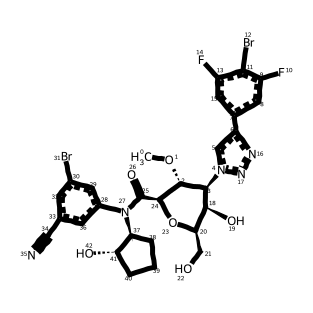 CO[C@@H]1[C@@H](n2cc(-c3cc(F)c(Br)c(F)c3)nn2)[C@@H](O)[C@@H](CO)O[C@H]1C(=O)N(c1cc(Br)cc(C#N)c1)[C@H]1CCC[C@@H]1O